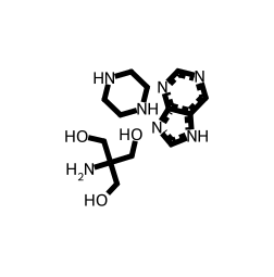 C1CNCCN1.NC(CO)(CO)CO.c1ncc2[nH]cnc2n1